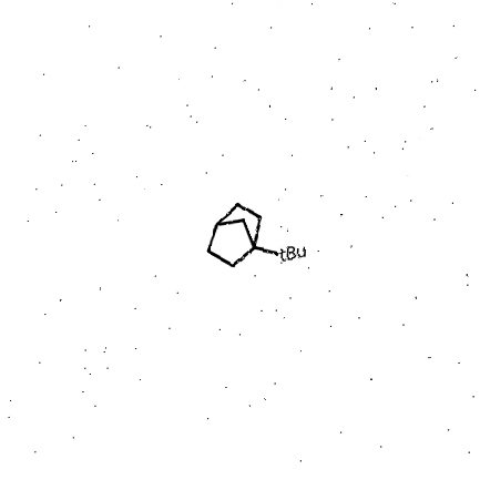 CC(C)(C)C12CCC(CC1)C2